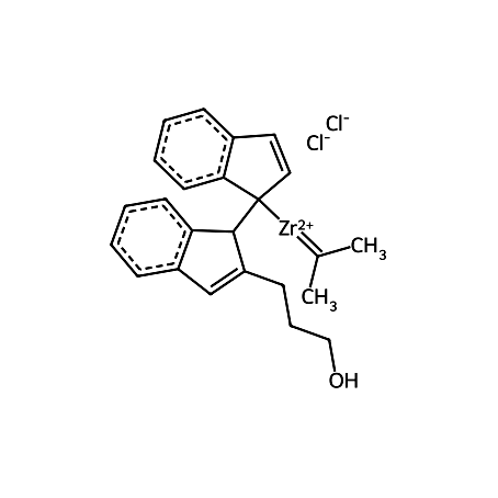 C[C](C)=[Zr+2][C]1(C2C(CCCO)=Cc3ccccc32)C=Cc2ccccc21.[Cl-].[Cl-]